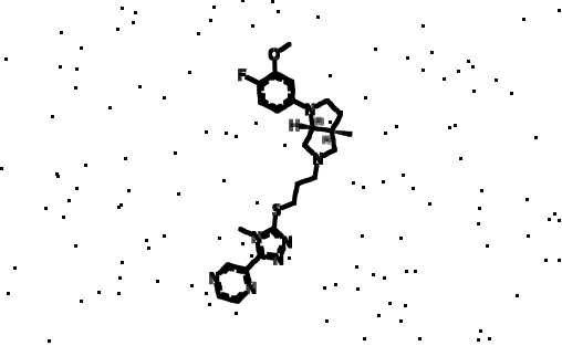 COc1cc(N2CC[C@]3(C)CN(CCCSc4nnc(-c5cnccn5)n4C)C[C@H]23)ccc1F